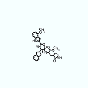 COC(=O)C(CC1CCNC1=O)NC(=O)C(NC(=O)c1cc2c(OC)cccc2[nH]1)C1Cc2ccccc2C1